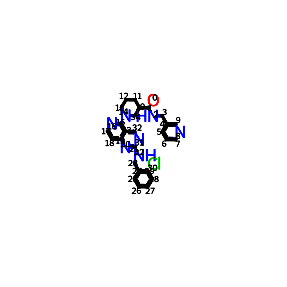 O=C(NCc1cccnc1)C1CCCN(c2nccc3nc(NCc4ccccc4Cl)ncc23)C1